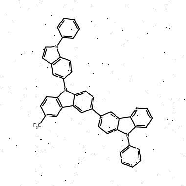 FC(F)(F)c1ccc2c(c1)c1cc(-c3ccc4c(c3)c3ccccc3n4-c3ccccc3)ccc1n2-c1ccc2c(ccn2-c2ccccc2)c1